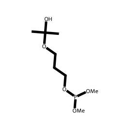 COP(OC)OCCCOC(C)(C)O